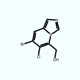 OCc1c(Cl)c(Br)cc2cncn12